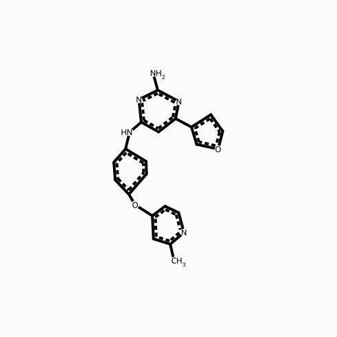 Cc1cc(Oc2ccc(Nc3cc(-c4ccoc4)nc(N)n3)cc2)ccn1